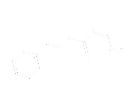 O=C(O)/C=C\C(=O)OC=Cc1ccccc1